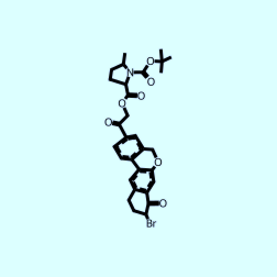 CC1CCC(C(=O)OCC(=O)c2ccc3c(c2)COc2cc4c(cc2-3)CCC(Br)C4=O)N1C(=O)OC(C)(C)C